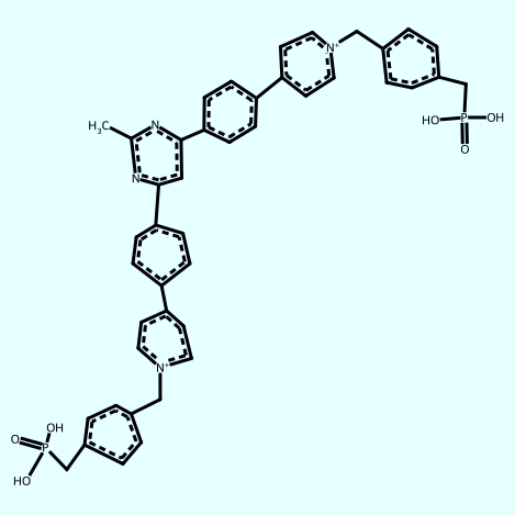 Cc1nc(-c2ccc(-c3cc[n+](Cc4ccc(CP(=O)(O)O)cc4)cc3)cc2)cc(-c2ccc(-c3cc[n+](Cc4ccc(CP(=O)(O)O)cc4)cc3)cc2)n1